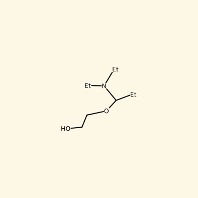 CCC(OCCO)N(CC)CC